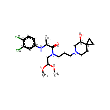 COC(CN(CCCN1CCC2(CC2)[C@H](O)C1)C(=O)C(C)Nc1ccc(Cl)c(Cl)c1)OC